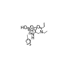 C=CC(=O)N(CC)CC(=O)N[C@H](Cc1ccsc1)B(O)O